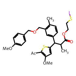 COc1ccc(COCc2cc(C(c3cc(OC)c(C(C)=O)s3)C(C)C(=O)OCCSI)ccc2C)cc1